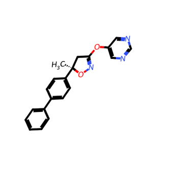 C[C@]1(c2ccc(-c3ccccc3)cc2)CC(Oc2cncnc2)=NO1